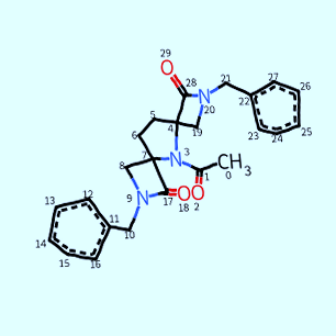 CC(=O)N1C2(CCC13CN(Cc1ccccc1)C3=O)CN(Cc1ccccc1)C2=O